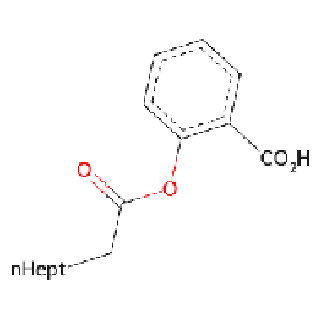 CCCCCCCCC(=O)Oc1ccccc1C(=O)O